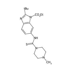 CCOC(=O)n1c(C(C)(C)C)nc2ccc(NC(=S)N3CCN(C)CC3)cc21